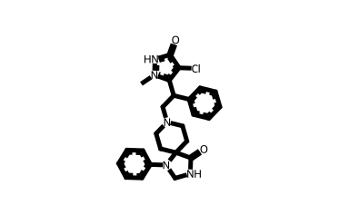 Cn1[nH]c(=O)c(Cl)c1C(CN1CCC2(CC1)C(=O)NCN2c1ccccc1)c1ccccc1